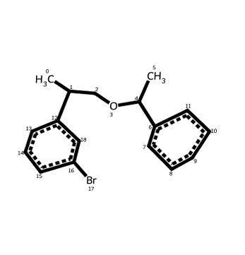 CC(COC(C)c1ccccc1)c1cccc(Br)c1